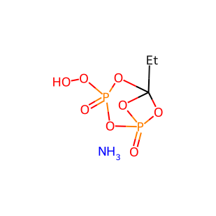 CCC12OP(=O)(OO)OP(=O)(O1)O2.N